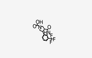 O=C1Nc2c(cccc2C(F)(F)F)C2CN(C(=O)O)CC12